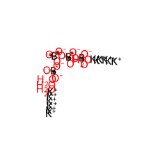 O.O.O.O.[K+].[K+].[K+].[K+].[K+].[K+].[K+].[K+].[K+].[K+].[K+].[K+].[O-]B([O-])[O-].[O-]B([O-])[O-].[O-]B([O-])[O-].[O-]B([O-])[O-]